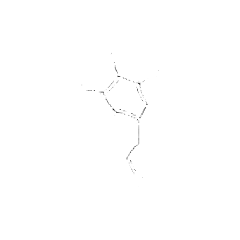 C=CCc1cc(O)c(O)c(O)c1